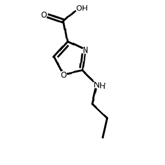 CCCNc1nc(C(=O)O)co1